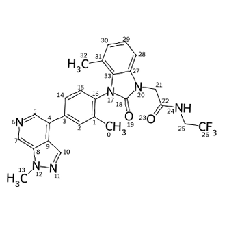 Cc1cc(-c2cncc3c2cnn3C)ccc1-n1c(=O)n(CC(=O)NCC(F)(F)F)c2cccc(C)c21